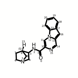 O=C(NC1CN2CC[C@H]1C2)c1cn2c(cn1)cc1ccccc12